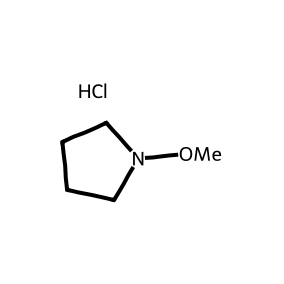 CON1CCCC1.Cl